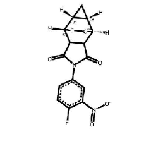 O=C1C2C(C(=O)N1c1ccc(F)c([N+](=O)[O-])c1)[C@H]1CC[C@H]2[C@@H]2C[C@@H]21